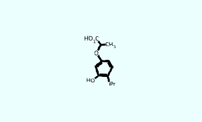 CC(Oc1ccc(C(C)C)c(O)c1)C(=O)O